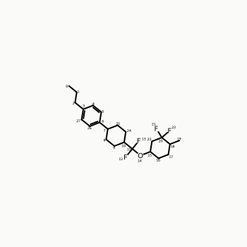 CCCc1ccc(C2CCC(C(F)(F)OC3CCC(C)C(F)(F)C3)CC2)cc1